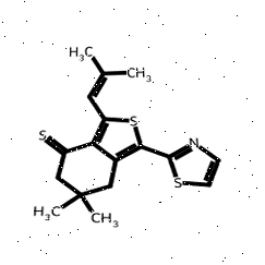 CC(C)=Cc1sc(-c2nccs2)c2c1C(=S)CC(C)(C)C2